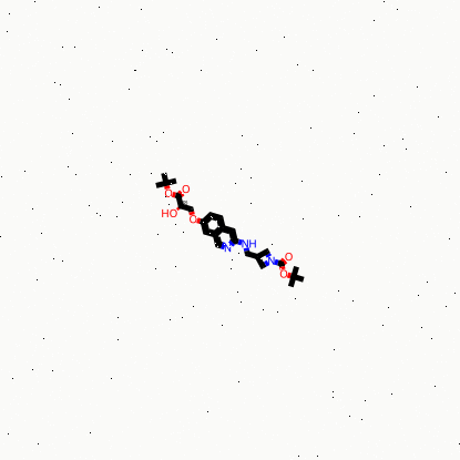 CC(C)(C)OC(=O)[C@H](O)COc1ccc2cc(NCC3CN(C(=O)OC(C)(C)C)C3)ncc2c1